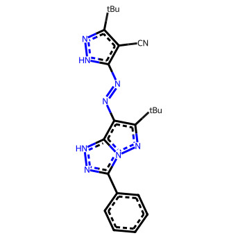 CC(C)(C)c1n[nH]c(/N=N/c2c(C(C)(C)C)nn3c(-c4ccccc4)n[nH]c23)c1C#N